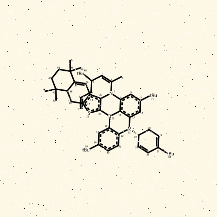 C=CCC(/C=C(/C)N1c2cc(C(C)(C)C)cc3c2B(c2cc(C(C)(C)C)ccc2N3[C@H]2C=CC(C(C)(C)C)=CC2)c2sc3c(c21)C=C1C(C3)C(C)(C)CCC1(C)C)C(C)(C)C